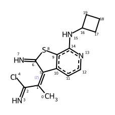 C/C(C(=N)Cl)=C1/C(=N)Sc2c1ccnc2NC1CCC1